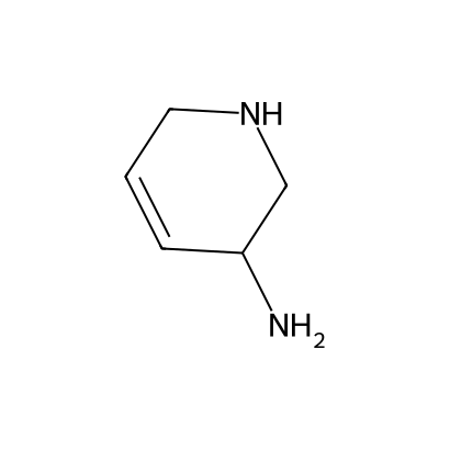 NC1C=CCNC1